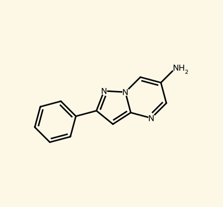 Nc1cnc2cc(-c3ccccc3)nn2c1